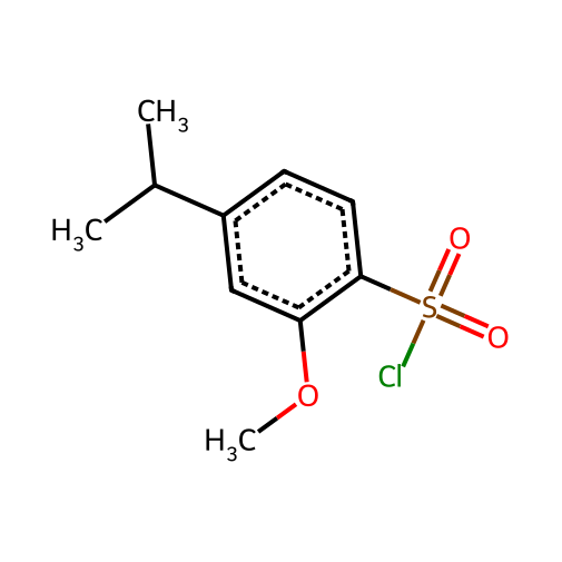 COc1cc(C(C)C)ccc1S(=O)(=O)Cl